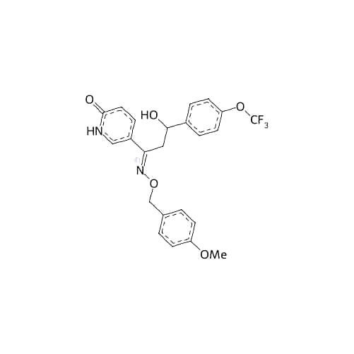 COc1ccc(CO/N=C(\CC(O)c2ccc(OC(F)(F)F)cc2)c2ccc(=O)[nH]c2)cc1